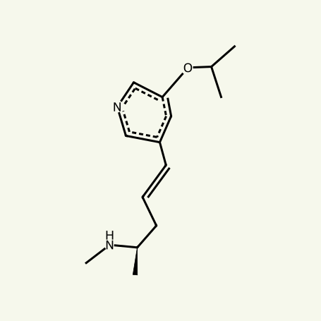 CN[C@H](C)C/C=C/c1cncc(OC(C)C)c1